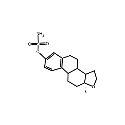 C[C@]12CCC3c4ccc(OS(N)(=O)=O)cc4CCC3C1CCO2